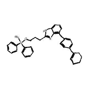 CC(C)(C)[Si](OCCCc1nc2c(-c3ccc(C4=CCCCC4)cc3)cccc2[nH]1)(c1ccccc1)c1ccccc1